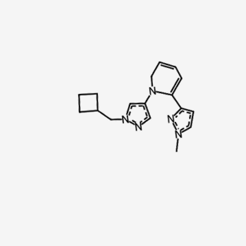 Cn1ccc(C2=CC=CCN2c2cnn(CC3CCC3)c2)n1